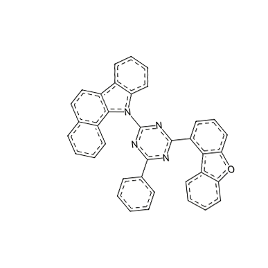 c1ccc(-c2nc(-c3cccc4oc5ccccc5c34)nc(-n3c4ccccc4c4ccc5ccccc5c43)n2)cc1